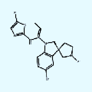 CC=C(Nc1ncc(F)s1)N1C[C@]2(CCN(C(C)=O)C2)c2cc(Br)ccc21